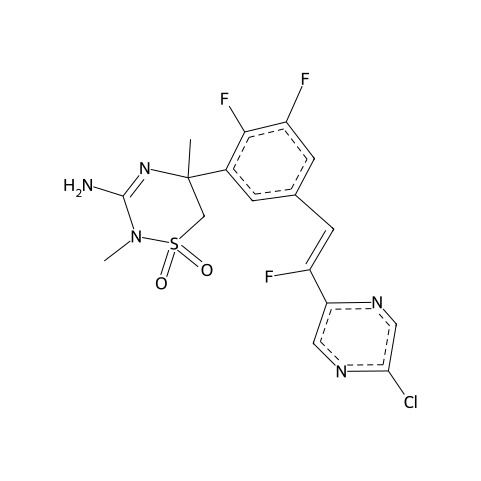 CN1C(N)=NC(C)(c2cc(C=C(F)c3cnc(Cl)cn3)cc(F)c2F)CS1(=O)=O